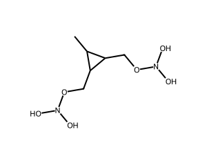 CC1C(CON(O)O)C1CON(O)O